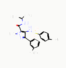 Cc1ccc(S(=O)(=O)Nc2c(-c3cccc(OCC(C)C)c3)nn(C)c2C(=O)NC(C)C(C)(C)C)cc1